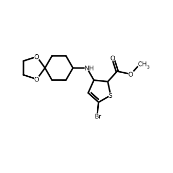 COC(=O)C1SC(Br)=CC1NC1CCC2(CC1)OCCO2